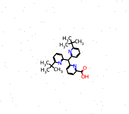 CC(C)(C)c1cccc(C(c2cccc(C(=O)O)n2)c2cccc(C(C)(C)C)n2)n1